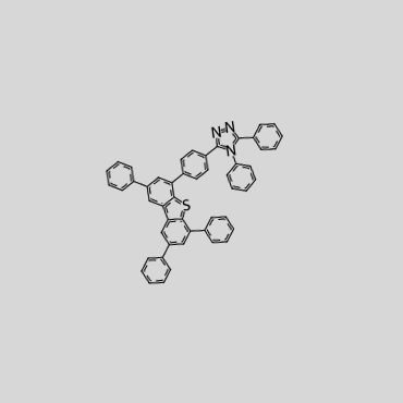 c1ccc(-c2cc(-c3ccccc3)c3sc4c(-c5ccc(-c6nnc(-c7ccccc7)n6-c6ccccc6)cc5)cc(-c5ccccc5)cc4c3c2)cc1